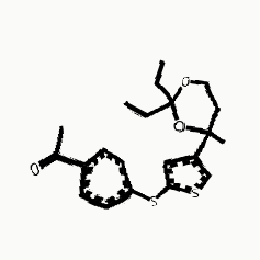 CCC1(CC)OCCC(C)(c2csc(Sc3ccc(C(C)=O)cc3)c2)O1